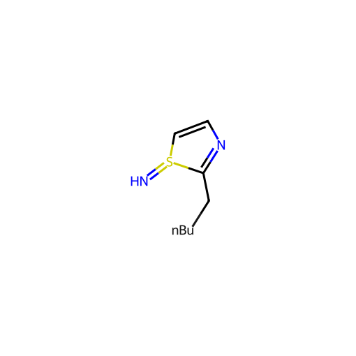 CCCCCC1=NC=CS1=N